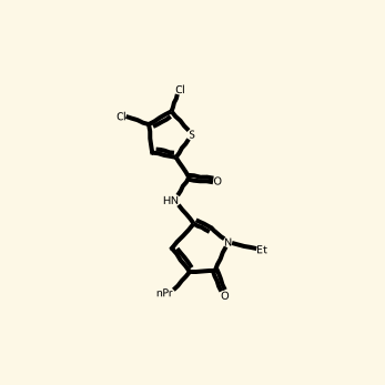 CCCc1cc(NC(=O)c2cc(Cl)c(Cl)s2)cn(CC)c1=O